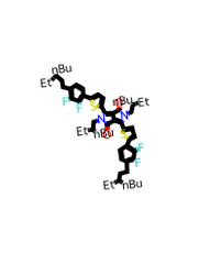 CCCCC(CC)CCc1ccc(-c2ccc(C3=C4C(=O)N(CC(CC)CCCC)C(c5ccc(-c6ccc(CCC(CC)CCCC)c(F)c6F)s5)=C4C(=O)N3CC(CC)CCCC)s2)c(F)c1F